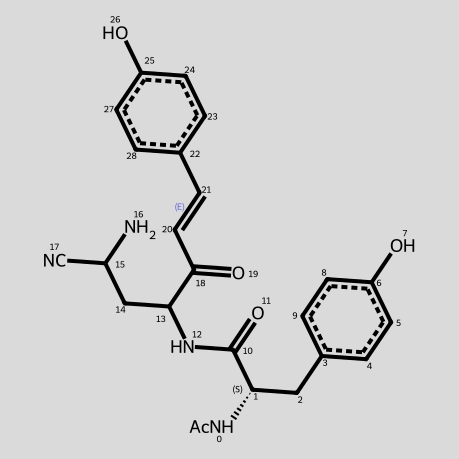 CC(=O)N[C@@H](Cc1ccc(O)cc1)C(=O)NC(CC(N)C#N)C(=O)/C=C/c1ccc(O)cc1